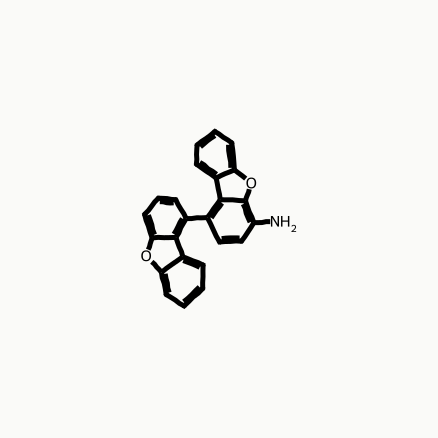 Nc1ccc(-c2cccc3oc4ccccc4c23)c2c1oc1ccccc12